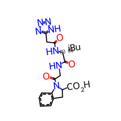 CC[C@H](C)[C@H](NC(=O)Cc1nnn[nH]1)C(=O)NCC(=O)N1c2ccccc2CC1C(=O)O